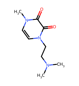 CN(C)CCn1ccn(C)c(=O)c1=O